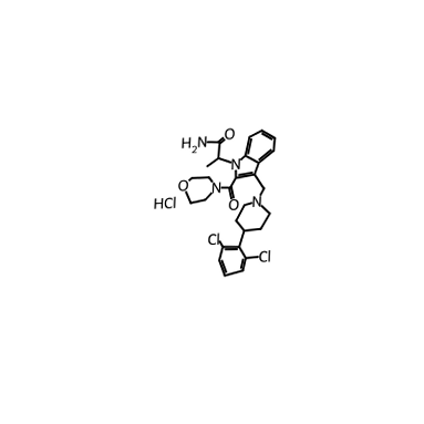 CC(C(N)=O)n1c(C(=O)N2CCOCC2)c(CN2CCC(c3c(Cl)cccc3Cl)CC2)c2ccccc21.Cl